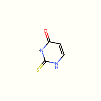 O=C1C=CNC(=S)[N]1